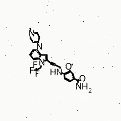 COc1cc(C(N)=O)ccc1NCC#Cc1cc2c(N=C3CCN(C)CC3)cccc2n1CC(F)(F)F